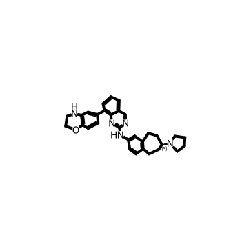 c1cc(-c2ccc3c(c2)NCCO3)c2nc(Nc3ccc4c(c3)CC[C@@H](N3CCCC3)CC4)ncc2c1